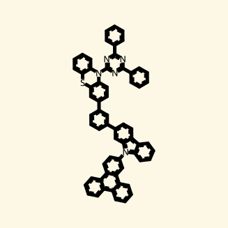 c1ccc(-c2nc(-c3ccccc3)nc(N3c4ccccc4Sc4cc(-c5cccc(-c6ccc7c8ccccc8n(-c8ccc9c%10ccccc%10c%10ccccc%10c9c8)c7c6)c5)ccc43)n2)cc1